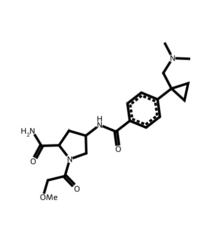 COCC(=O)N1CC(NC(=O)c2ccc(C3(CN(C)C)CC3)cc2)[CH]C1C(N)=O